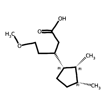 COCCC(CC(=O)O)[C@H]1CC[C@@H](C)[C@H]1C